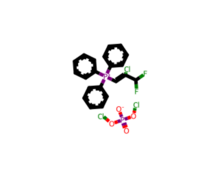 FC(F)C(Cl)=C[P+](c1ccccc1)(c1ccccc1)c1ccccc1.O=P([O-])(OCl)OCl